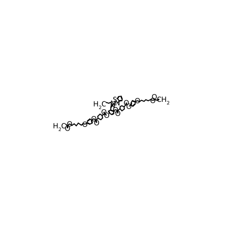 C=CCCN(/N=C/c1cc(OC(=O)C2CCC(C(=O)Oc3ccc(OCCCCCCOC(=O)C=C)cc3)CC2)ccc1OC(=O)C1CCC(C(=O)Oc2ccc(OCCCCCCOC(=O)C=C)cc2)CC1)c1nc2ccccc2s1